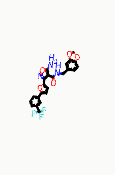 Nc1onc(-c2ccc(-c3cccc(C(F)(F)F)c3)o2)c1C(=O)NCc1ccc2c(c1)OCO2